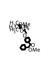 CCC(COc1ccc(C(=O)C(OC)c2ccccc2)cc1)OC(C)(C)C(C)(C)OC